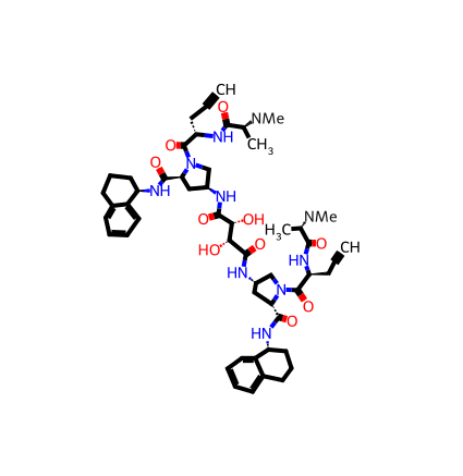 C#CC[C@H](NC(=O)[C@H](C)NC)C(=O)N1C[C@@H](NC(=O)[C@H](O)[C@@H](O)C(=O)N[C@H]2C[C@@H](C(=O)N[C@@H]3CCCc4ccccc43)N(C(=O)[C@H](CC#C)NC(=O)[C@H](C)NC)C2)C[C@H]1C(=O)N[C@@H]1CCCc2ccccc21